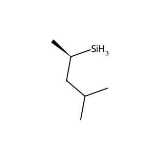 CC(C)C[C@@H](C)[SiH3]